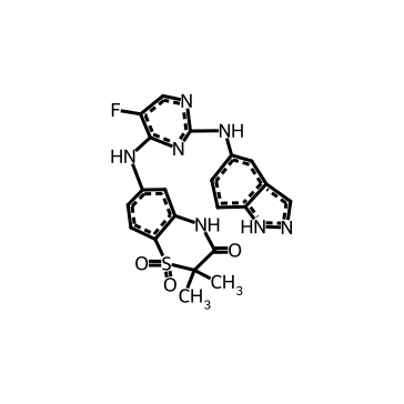 CC1(C)C(=O)Nc2cc(Nc3nc(Nc4ccc5[nH]ncc5c4)ncc3F)ccc2S1(=O)=O